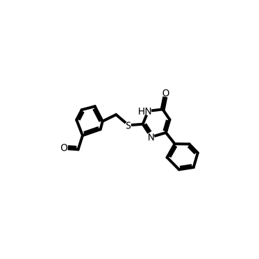 O=Cc1cccc(CSc2nc(-c3ccccc3)cc(=O)[nH]2)c1